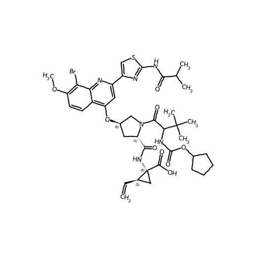 C=C[C@@H]1C[C@]1(NC(=O)[C@@H]1C[C@@H](Oc2cc(-c3csc(NC(=O)C(C)C)n3)nc3c(Br)c(OC)ccc23)CN1C(=O)C(NC(=O)OC1CCCC1)C(C)(C)C)C(=O)O